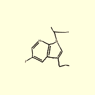 CCc1cn(C(C)C)c2ncc(F)cc12